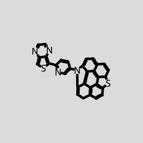 C1=CC2Sc3ccc4c5c3c2c2c1ccc1c2c5c(n1-c1ccc(-c2scc3nccnc23)nc1)=CC4